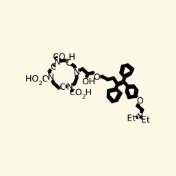 CCN(CC)CCOc1ccc(C(=C(CCCOCC(O)CN2CCCN(C(=O)O)CCN(C(=O)O)CCCN(C(=O)O)CC2)c2ccccc2)c2ccccc2)cc1